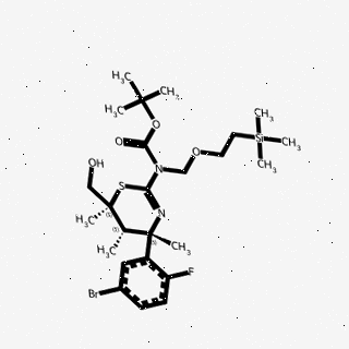 C[C@@H]1[C@@](C)(CO)SC(N(COCC[Si](C)(C)C)C(=O)OC(C)(C)C)=N[C@]1(C)c1cc(Br)ccc1F